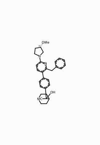 CO[C@H]1CCN(c2ccc(-c3ccc(C4(O)CN5CCC4CC5)cc3)c(Cc3ccccc3)n2)C1